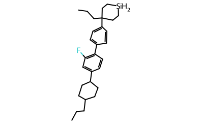 CCCC1CCC(c2ccc(-c3ccc(C4(CCC)CC[SiH2]CC4)cc3)c(F)c2)CC1